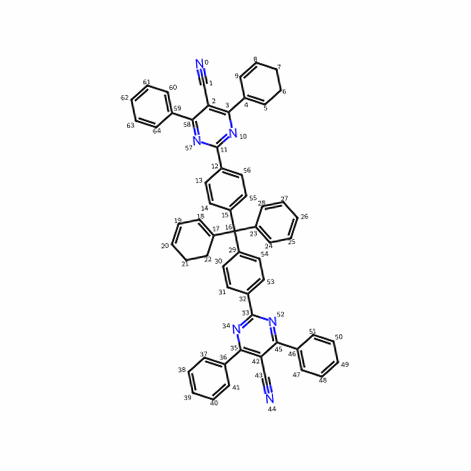 N#Cc1c(C2=CCCC=C2)nc(-c2ccc(C(C3=CC=CCC3)(c3ccccc3)c3ccc(-c4nc(-c5ccccc5)c(C#N)c(-c5ccccc5)n4)cc3)cc2)nc1-c1ccccc1